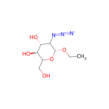 CCO[C@@H]1OC(CO)[C@@H](O)[C@H](O)C1N=[N+]=[N-]